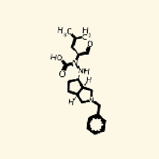 CC(C)C[C@@H](C=O)N(N[C@H]1CC[C@@H]2CN(Cc3ccccc3)C[C@@H]21)C(=O)O